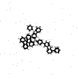 c1ccc(-c2cccc3c2oc2ccc(-c4ccc(N(c5ccc6c(c5)c5ccccc5n6-c5ccccc5)c5cccc6c5-c5ccccc5C65c6ccccc6-c6ccccc65)cc4)cc23)cc1